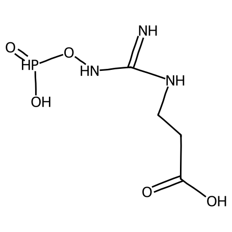 N=C(NCCC(=O)O)NO[PH](=O)O